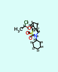 CC(Cl)OC1C2CC3C1N(C1CCCCC1)S(=O)(=O)C3C2